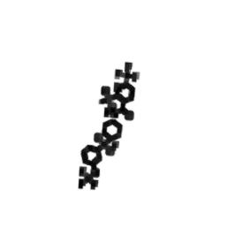 CS(=O)(=O)c1nc(C(F)(F)F)ccc1C(=O)N[C@H]1CC[C@](F)(S(=O)(=O)c2cccc(OC(F)(F)F)c2)CC1